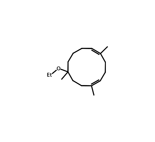 CCOC1(C)CCCC=C(C)CCC=C(C)CC1